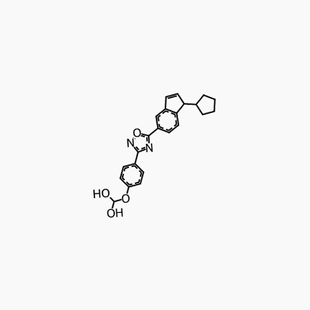 OC(O)Oc1ccc(-c2noc(-c3ccc4c(c3)C=CC4C3CCCC3)n2)cc1